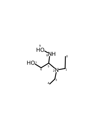 CCN(CC)C(CO)NO